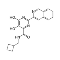 O=C(NCC1CCC1)c1nc(-c2cc3ccccc3cn2)nc(O)c1O